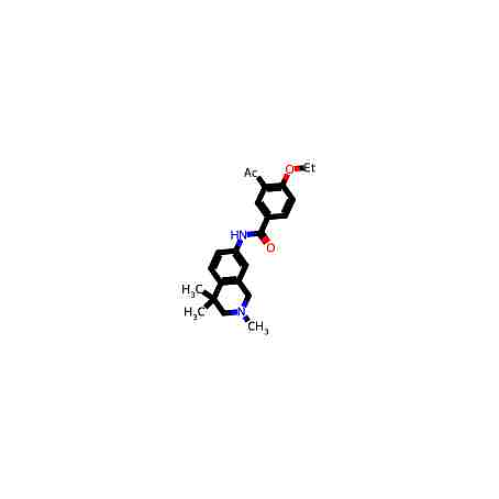 CCOc1ccc(C(=O)Nc2ccc3c(c2)CN(C)CC3(C)C)cc1C(C)=O